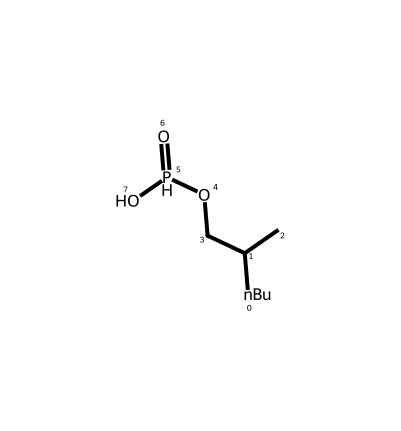 CCCCC(C)CO[PH](=O)O